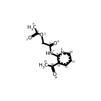 CC(=O)OCC(=O)Nc1ncccc1C(C)=O